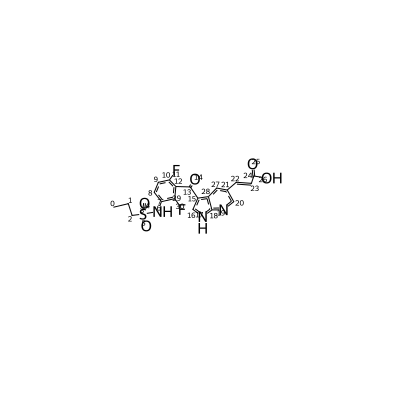 CCCS(=O)(=O)Nc1ccc(F)c(C(=O)c2c[nH]c3ncc(/C=C/C(=O)O)cc23)c1F